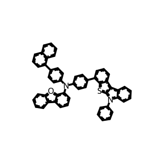 c1ccc(-n2c3ccccc3c3c4cccc(-c5ccc(N(c6ccc(-c7cccc8ccccc78)cc6)c6cccc7c6oc6ccccc67)cc5)c4sc32)cc1